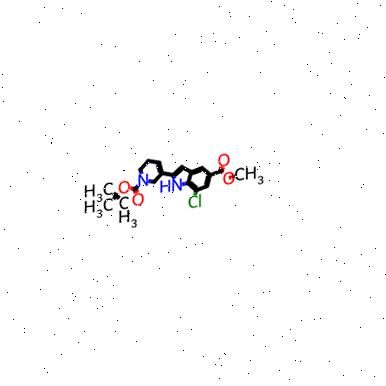 COC(=O)c1cc(Cl)c2[nH]c(C3=CCCN(C(=O)OC(C)(C)C)C3)cc2c1